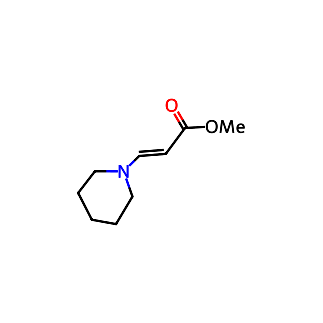 COC(=O)/C=C/N1CCCCC1